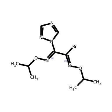 CC(C)O/N=C(Br)/C(=N/OC(C)C)n1cncn1